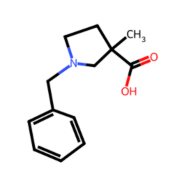 CC1(C(=O)O)CCN(Cc2ccccc2)C1